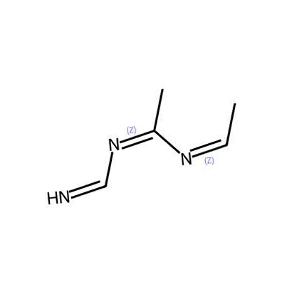 C/C=N\C(C)=N/C=N